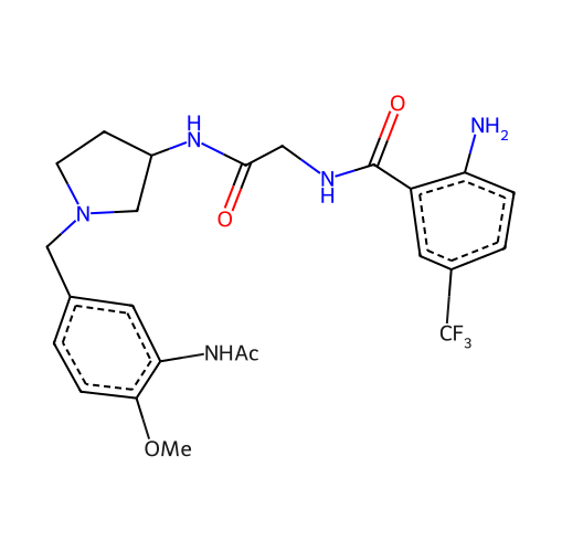 COc1ccc(CN2CCC(NC(=O)CNC(=O)c3cc(C(F)(F)F)ccc3N)C2)cc1NC(C)=O